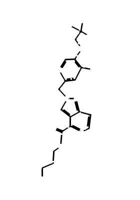 Cc1cc(Cn2cc3c(C(=O)NCCCO)nccc3n2)ncc1OCC(C)(F)F